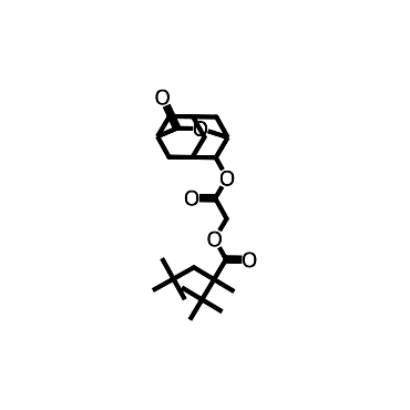 CC(C)(C)CC(C)(C(=O)OCC(=O)OC1C2CC3CC(C2)C(=O)OC1C3)C(C)(C)C